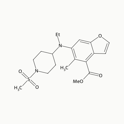 CCN(c1cc2occc2c(C(=O)OC)c1C)C1CCN(S(C)(=O)=O)CC1